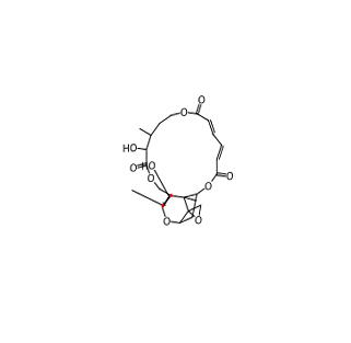 CC1=CC2OC3CC4OC(=O)/C=C/C=C/C(=O)OCCC(C)C(O)C(=O)OCC2(CC1O)C4(C)C31CO1